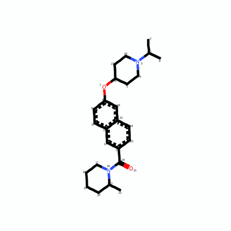 CC(C)N1CCC(Oc2ccc3cc(C(=O)N4CCCCC4C)ccc3c2)CC1